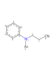 [CH2]C(=O)N(CCC#N)c1ccccc1